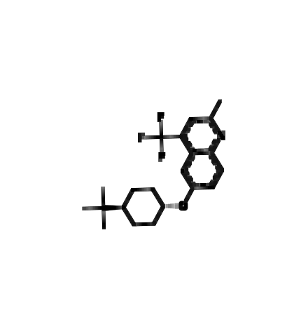 Cc1cc(C(F)(F)F)c2cc(O[C@H]3CC[C@H](C(C)(C)C)CC3)ccc2n1